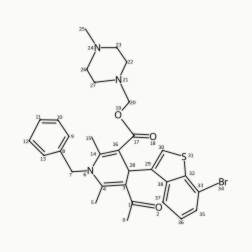 CC(=O)C1=C(C)N(Cc2ccccc2)C(C)=C(C(=O)OCN2CCN(C)CC2)C1c1csc2c(Br)cccc12